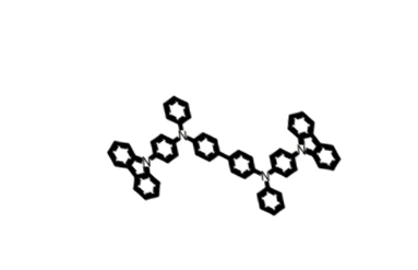 c1ccc(N(c2ccc(-c3ccc(N(c4ccccc4)c4ccc(-n5c6ccccc6c6ccccc65)cc4)cc3)cc2)c2ccc(-n3c4ccccc4c4ccccc43)cc2)cc1